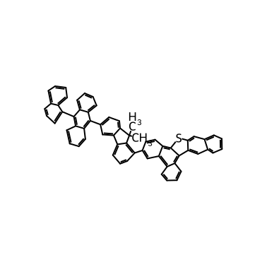 CC1(C)c2ccc(-c3c4ccccc4c(-c4cccc5ccccc45)c4ccccc34)cc2-c2cccc(-c3ccc4c(c3)c3ccccc3c3c5cc6ccccc6cc5sc43)c21